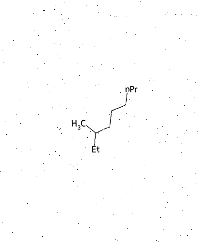 CCCCCC[C](C)CC